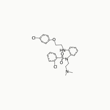 CN(C)CCN(c1ccccc1NCCOc1ccc(Cl)cc1)S(=O)(=O)c1ccccc1Cl